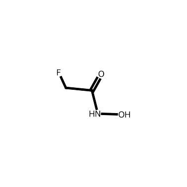 O=C(CF)NO